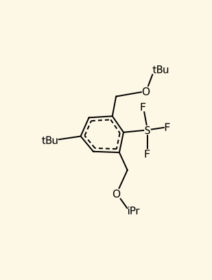 CC(C)OCc1cc(C(C)(C)C)cc(COC(C)(C)C)c1S(F)(F)F